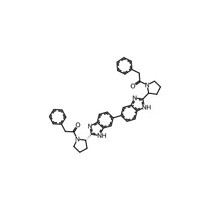 O=C(Cc1ccccc1)N1CCCC1c1nc2cc(-c3ccc4nc([C@@H]5CCCN5C(=O)Cc5ccccc5)[nH]c4c3)ccc2[nH]1